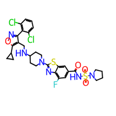 O=C(NS(=O)(=O)N1CCCC1)c1cc(F)c2nc(N3CCC(NCc4c(-c5c(Cl)cccc5Cl)noc4C4CC4)CC3)sc2c1